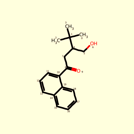 CC(C)(C)C(CO)CC(=O)c1cccc2ccccc12